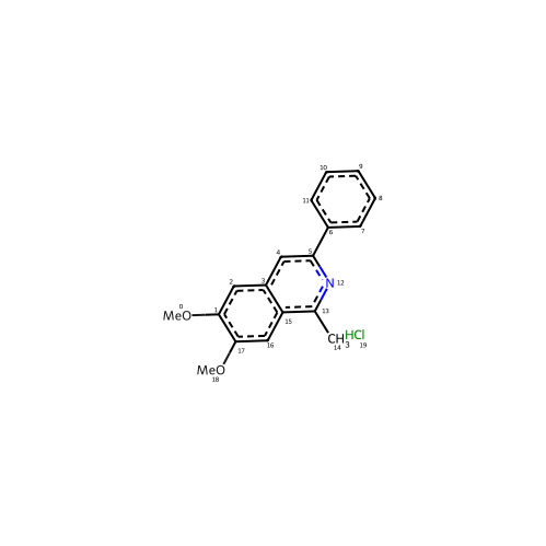 COc1cc2cc(-c3ccccc3)nc(C)c2cc1OC.Cl